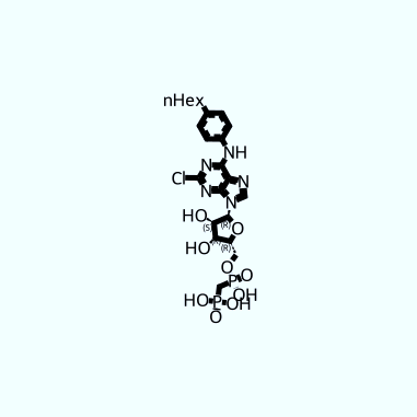 CCCCCCc1ccc(Nc2nc(Cl)nc3c2ncn3[C@@H]2O[C@H](COP(=O)(O)CP(=O)(O)O)[C@H](O)[C@@H]2O)cc1